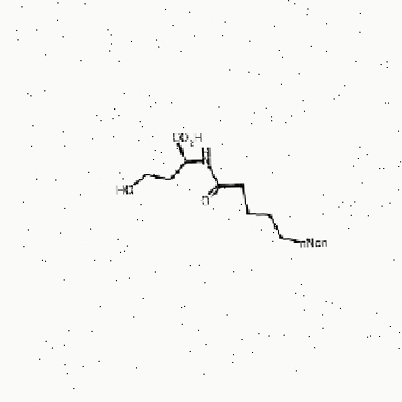 CCCCCCCCCCCCCC(=O)N[C@@H](CCO)C(=O)O